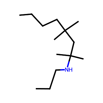 CCCCC(C)(C)CC(C)(C)NCCC